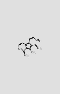 C=Cc1c(/C=C\C)c(/C=C\C)c(C=C)n1C